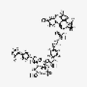 Cc1ncsc1-c1ccc(CNC(=O)[C@@H]2C[C@@H](O)CN2C(=O)C(NC(=O)Cc2ccc(OCCNC(=O)C[C@@H]3N=C(c4ccc(Cl)cc4)c4c(sc(C)c4C)-n4c(C)nnc43)cc2)C(C)(C)C)cc1